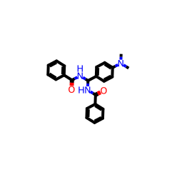 CN(C)c1ccc(C(NC(=O)c2ccccc2)NC(=O)c2ccccc2)cc1